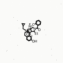 CCC1C2[C@@H](CN1C(=O)c1ccccc1C(F)(F)F)CC1(C)C3Cc4ccc(O)cc4C21CCN3CC1CC1